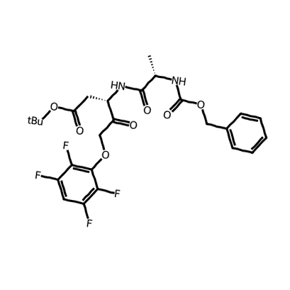 C[C@H](NC(=O)OCc1ccccc1)C(=O)N[C@@H](CC(=O)OC(C)(C)C)C(=O)COc1c(F)c(F)cc(F)c1F